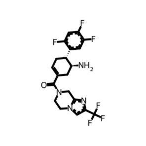 N[C@H]1CC(C(=O)N2CCn3cc(C(F)(F)F)nc3C2)=CC[C@@H]1c1cc(F)c(F)cc1F